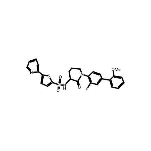 COc1ccccc1-c1ccc(N2CCCC(NS(=O)(=O)c3ccc(-c4ccccn4)s3)C2=O)c(F)c1